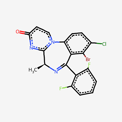 C[C@@H]1N=C(c2c(F)cccc2F)c2c(ccc(Cl)c2Br)-n2ccc(=O)nc21